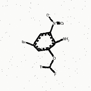 Nc1c(OC(F)F)cc(Br)cc1[N+](=O)[O-]